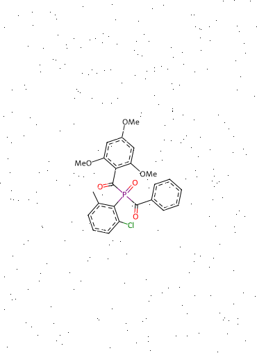 COc1cc(OC)c(C(=O)P(=O)(C(=O)c2ccccc2)c2c(C)cccc2Cl)c(OC)c1